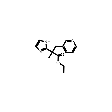 CCOC(=O)C(C)(Cc1cccnc1)c1ncc[nH]1